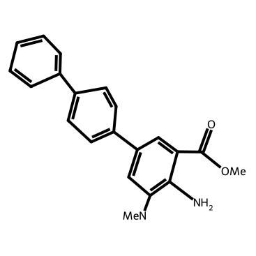 CNc1cc(-c2ccc(-c3ccccc3)cc2)cc(C(=O)OC)c1N